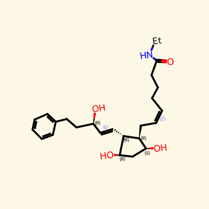 CCNC(=O)CCC/C=C\C[C@@H]1[C@@H](/C=C/[C@H](O)CCc2ccccc2)[C@H](O)C[C@@H]1O